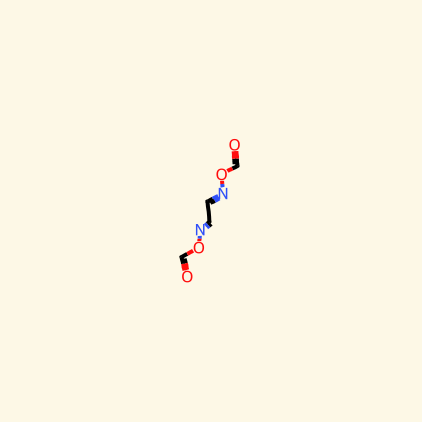 O=CO/N=C/C=N/OC=O